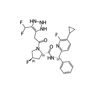 O=C(N[C@@H](c1ccccc1)c1ccc(C2CC2)c(F)n1)[C@@H]1C[C@@H](F)CN1C(=O)CC1=C(C(F)F)NNN1